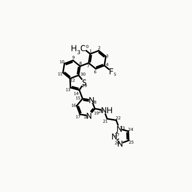 Cc1ccc(F)cc1-c1cccc2cc(-c3ccnc(NCCn4ccnn4)n3)sc12